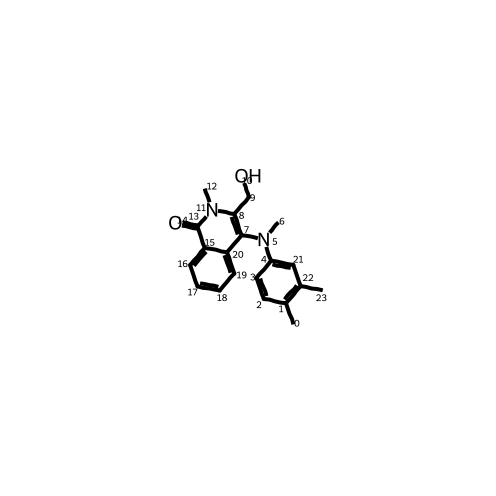 Cc1ccc(N(C)c2c(CO)n(C)c(=O)c3ccccc23)cc1C